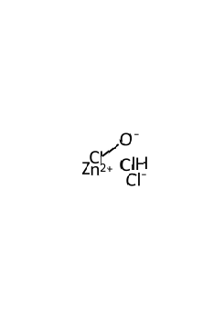 Cl.[Cl-].[O-]Cl.[Zn+2]